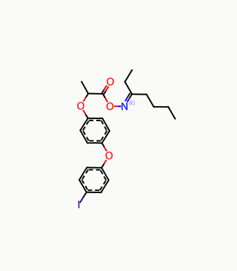 CCCC/C(CC)=N/OC(=O)C(C)Oc1ccc(Oc2ccc(I)cc2)cc1